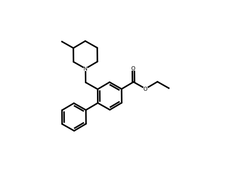 CCOC(=O)c1ccc(-c2ccccc2)c(CN2CCCC(C)C2)c1